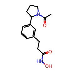 CC(=O)N1CCCC1c1cccc(CCC(=O)NO)c1